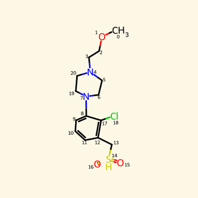 COCCN1CCN(c2cccc(C[SH](=O)=O)c2Cl)CC1